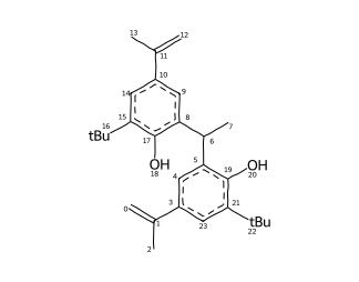 C=C(C)c1cc(C(C)c2cc(C(=C)C)cc(C(C)(C)C)c2O)c(O)c(C(C)(C)C)c1